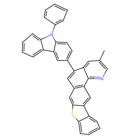 Cc1cnc2c(c1)c(-c1ccc3c(c1)c1ccccc1n3-c1ccccc1)cc1cc3sc4ccccc4c3cc12